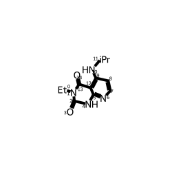 CCn1c(=O)[nH]c2nccc(NC(C)C)c2c1=O